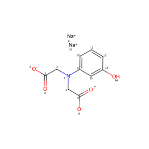 O=C([O-])CN(CC(=O)[O-])c1cccc(O)c1.[Na+].[Na+]